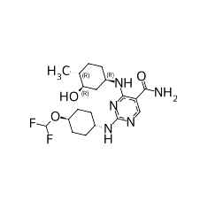 C[C@@H]1CC[C@@H](Nc2nc(N[C@H]3CC[C@H](OC(F)F)CC3)ncc2C(N)=O)C[C@H]1O